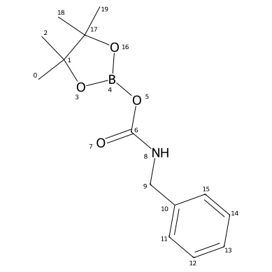 CC1(C)OB(OC(=O)NCc2ccccc2)OC1(C)C